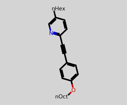 CCCCCCCCOc1ccc(C#Cc2ccc(CCCCCC)cn2)cc1